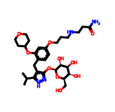 CC(C)c1[nH]nc(O[C@@H]2O[C@H](CO)[C@@H](O)[C@H](O)[C@H]2O)c1Cc1ccc(OCCCNCCC(N)=O)cc1OC1CCOCC1